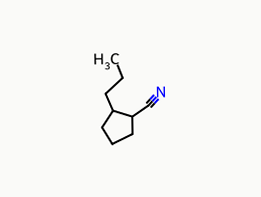 CCCC1CCCC1C#N